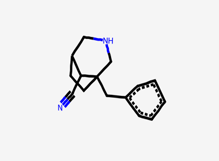 N#CC1C2CCC1(Cc1ccccc1)CNC2